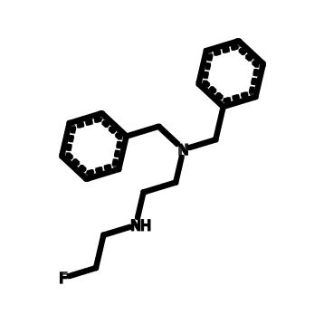 FCCNCCN(Cc1ccccc1)Cc1ccccc1